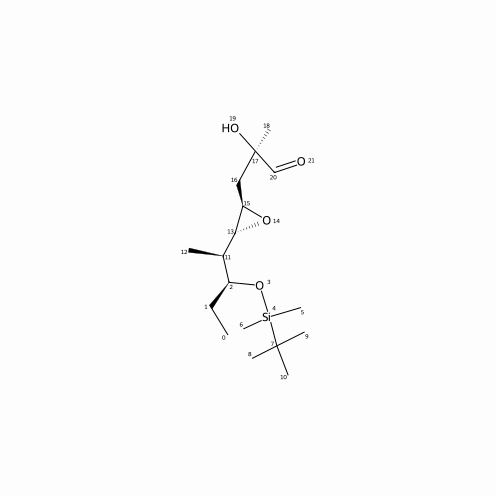 CC[C@H](O[Si](C)(C)C(C)(C)C)[C@@H](C)[C@H]1O[C@@H]1C[C@@](C)(O)C=O